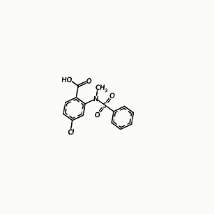 CN(c1cc(Cl)ccc1C(=O)O)S(=O)(=O)c1ccccc1